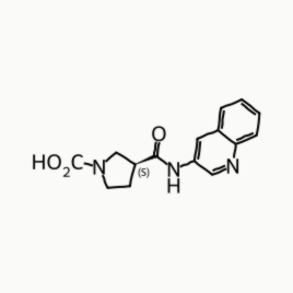 O=C(Nc1cnc2ccccc2c1)[C@H]1CCN(C(=O)O)C1